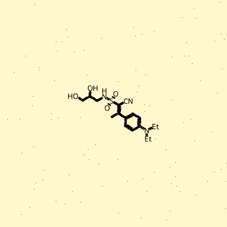 CCN(CC)c1ccc(/C(C)=C(\C#N)S(=O)(=O)NCC(O)CO)cc1